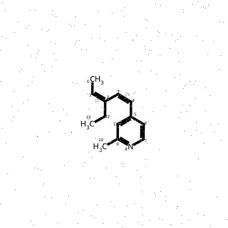 C/C=C(\C=C/c1ccnc(C)c1)CC